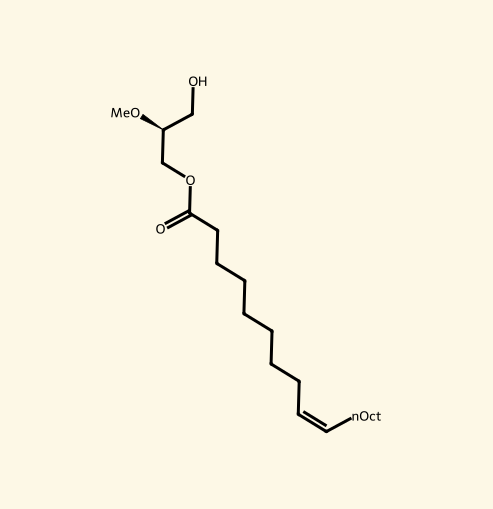 CCCCCCCC/C=C\CCCCCCCC(=O)OC[C@H](CO)OC